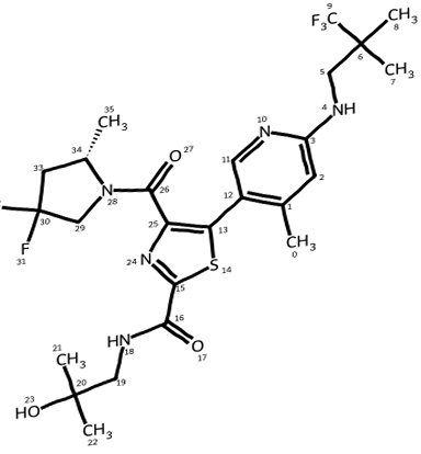 Cc1cc(NCC(C)(C)C(F)(F)F)ncc1-c1sc(C(=O)NCC(C)(C)O)nc1C(=O)N1CC(F)(F)C[C@@H]1C